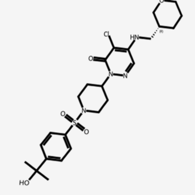 CC(C)(O)c1ccc(S(=O)(=O)N2CCC(n3ncc(NC[C@H]4CCCOC4)c(Cl)c3=O)CC2)cc1